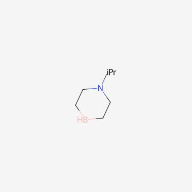 CC(C)N1CCBCC1